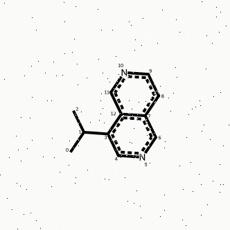 CC(C)c1cncc2ccncc12